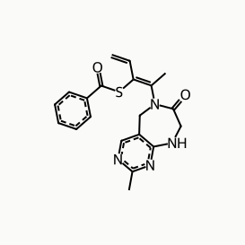 C=C/C(SC(=O)c1ccccc1)=C(\C)N1Cc2cnc(C)nc2NCC1=O